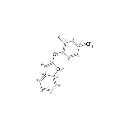 Cc1cc(C(F)(F)F)ccc1Oc1cc2ccccc2o1